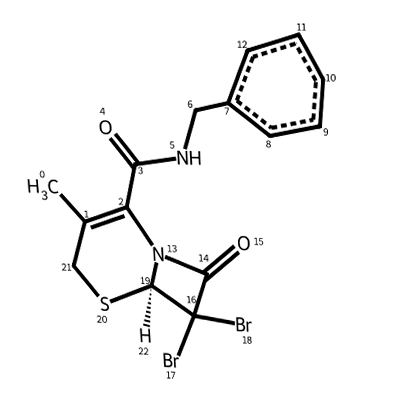 CC1=C(C(=O)NCc2ccccc2)N2C(=O)C(Br)(Br)[C@H]2SC1